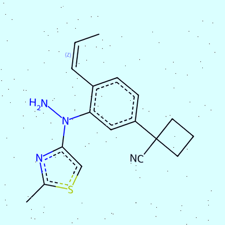 C/C=C\c1ccc(C2(C#N)CCC2)cc1N(N)c1csc(C)n1